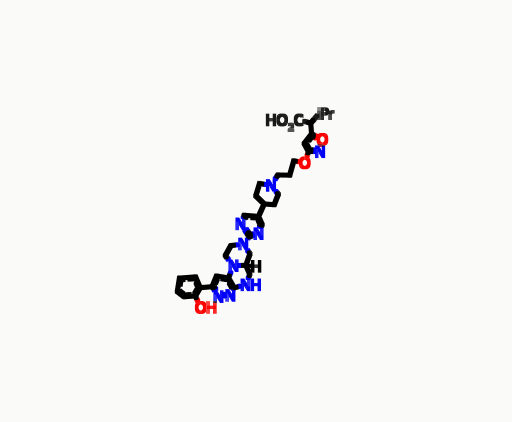 CC(C)C(C(=O)O)c1cc(OCCCN2CCC(c3cnc(N4CCN5c6cc(-c7ccccc7O)nnc6NC[C@H]5C4)nc3)CC2)no1